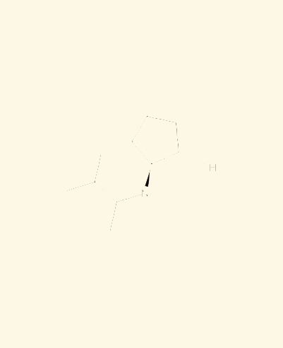 CC(C)C(C)N[C@H]1CCC[C@@H]1O